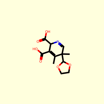 CC1=C(C(=O)O)C(C(=O)O)N=CC1(C)C1OCCO1